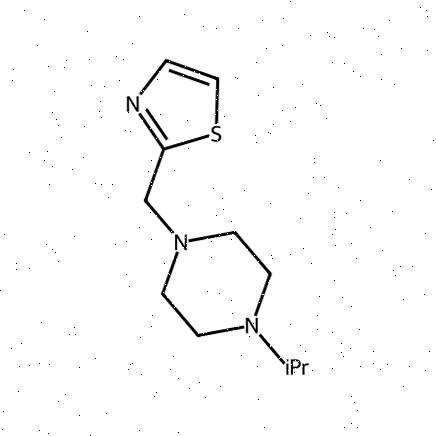 CC(C)N1CCN(Cc2nccs2)CC1